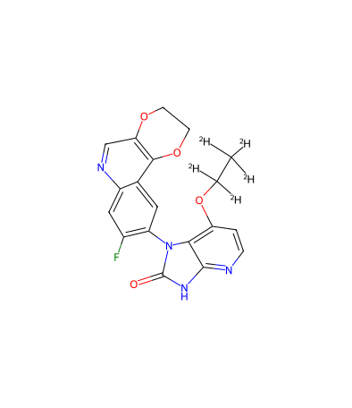 [2H]C([2H])([2H])C([2H])([2H])Oc1ccnc2[nH]c(=O)n(-c3cc4c5c(cnc4cc3F)OCCO5)c12